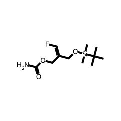 CC(C)(C)[Si](C)(C)OCC(=CF)COC(N)=O